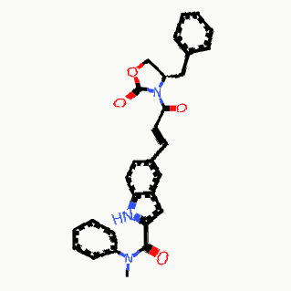 CN(C(=O)c1cc2cc(/C=C/C(=O)N3C(=O)OC[C@H]3Cc3ccccc3)ccc2[nH]1)c1ccccc1